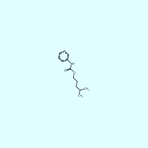 CC(C)CCCOC(=O)Nc1cccnc1